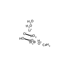 O.O.O.O.O=[N+]([O-])O.O=[N+]([O-])[O-].[CaH2].[Li+]